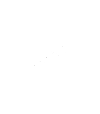 CC(C)(C)[Si](C)(C)OC(=O)CCCCC=O